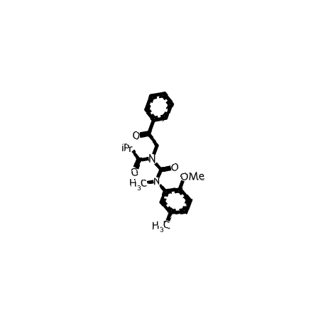 COc1ccc(C)cc1N(C)C(=O)N(CC(=O)c1ccccc1)C(=O)C(C)C